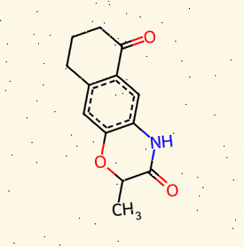 CC1Oc2cc3c(cc2NC1=O)C(=O)CCC3